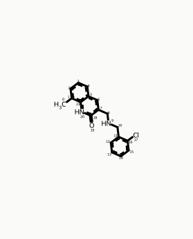 Cc1cccc2cc(CNCc3ccccc3Cl)c(=O)[nH]c12